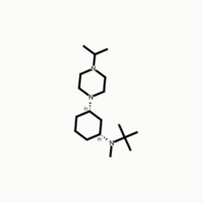 CC(C)N1CCN([C@H]2CCC[C@@H](N(C)C(C)(C)C)C2)CC1